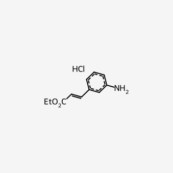 CCOC(=O)C=Cc1cccc(N)c1.Cl